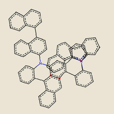 c1ccc(-c2cc(N(c3ccccc3-c3cccc4ccccc34)c3ccc(-c4cccc5ccccc45)c4ccccc34)ccc2-c2ccccc2-n2c3ccccc3c3ccc4ccccc4c32)cc1